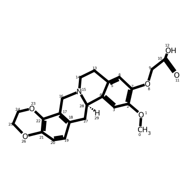 COc1cc2c(cc1OCC(=O)O)CCN1Cc3c(ccc4c3OCCO4)C[C@H]21